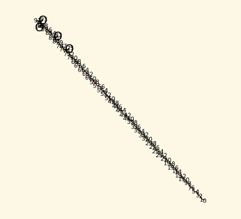 CCCCCCCCCCCCCCCCCCCCCCCCCCCCCCCCCCCCCCCCCCCCCCCCCCCCCCCCCCCCCCCCCCCCCCC=CCCC(=O)CCCCCC(=O)CCCCCCC(=O)C(C)=O